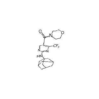 O=C(c1cnc(NC23CC4CC(CC(C4)C2)C3)nc1C(F)(F)F)N1CCOCC1